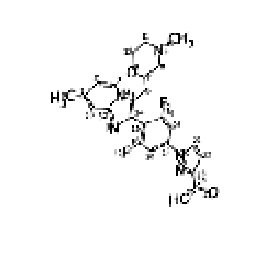 Cc1ccn2c(CC3CN(C)CCO3)c(-c3c(F)cc(-n4ccc(C(=O)O)n4)cc3F)nc2c1